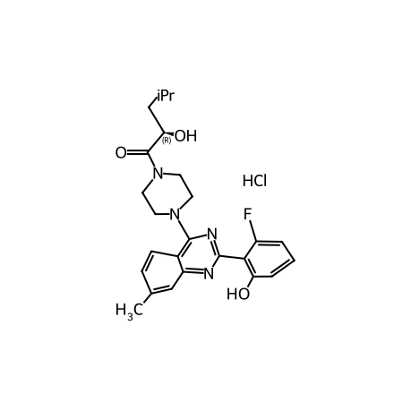 Cc1ccc2c(N3CCN(C(=O)[C@H](O)CC(C)C)CC3)nc(-c3c(O)cccc3F)nc2c1.Cl